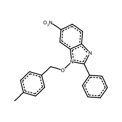 Cc1ccc(COn2c(-c3ccccc3)nc3ccc([N+](=O)[O-])cc32)cc1